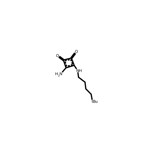 CC(C)(C)CCCCNc1c(N)c(=O)c1=O